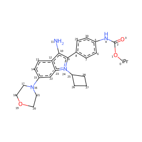 CC(C)OC(=O)Nc1ccc(-c2c(N)c3ccc(N4CCOCC4)cc3n2C2CCC2)cc1